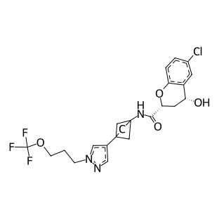 O=C(NC12CC(c3cnn(CCCOC(F)(F)F)c3)(C1)C2)[C@H]1C[C@@H](O)c2cc(Cl)ccc2O1